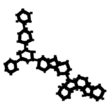 c1ccc(C2=NC(c3ccc4c(c3)oc3ccc(-n5c6ccccc6c6c7sc8ccccc8c7ccc65)cc34)=NC(c3ccc(-c4ccccc4)cc3)N2)cc1